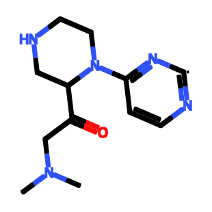 CN(C)CC(=O)C1CNCCN1c1ccn[c]n1